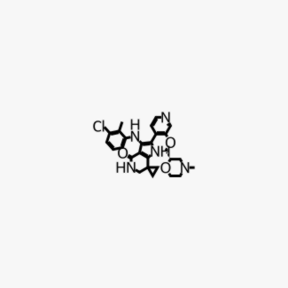 Cc1c(Cl)cccc1Nc1c(-c2ccncc2OC[C@@H]2CN(C)CCO2)[nH]c2c1C(=O)NCC21CC1